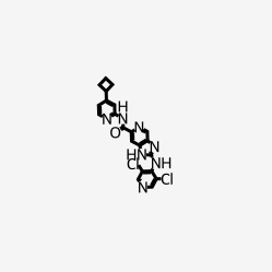 O=C(Nc1cc(C2CCC2)ccn1)c1cc2[nH]c(Nc3c(Cl)cncc3Cl)nc2cn1